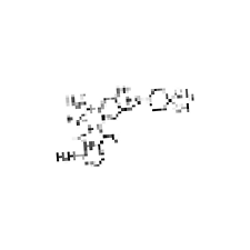 CN(C)C1=CC(=N)/C(=C\N[C@H]2CC[C@](C)(O)CC2)C=C1NC(=O)c1cccc(N)[n+]1O